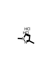 Cc1ccn(C)n1.Cl.Cl